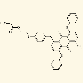 C=CC(=O)OCCOc1ccc(Sc2ccc(Sc3ccccc3)c3c2C(=O)c2c(Sc4ccccc4)ccc(C)c2C3=O)cc1